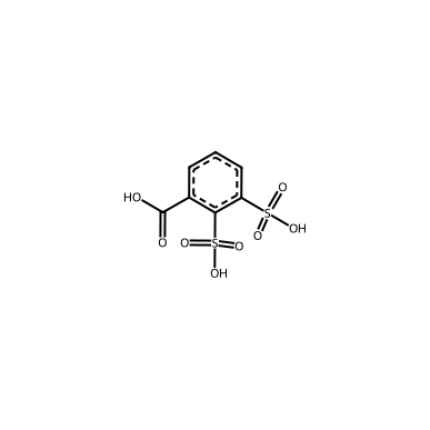 O=C(O)c1cccc(S(=O)(=O)O)c1S(=O)(=O)O